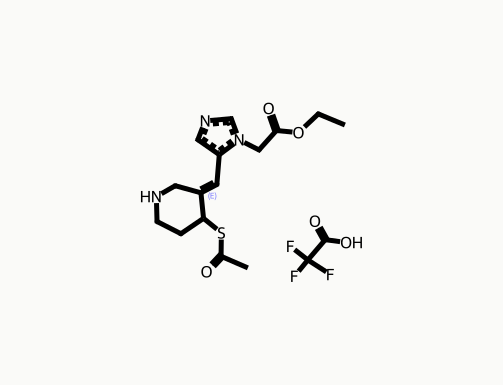 CCOC(=O)Cn1cncc1/C=C1\CNCCC1SC(C)=O.O=C(O)C(F)(F)F